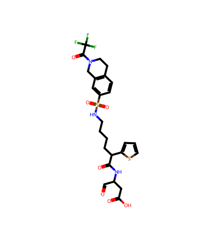 O=CC(CC(=O)O)NC(=O)C(CCCCNS(=O)(=O)c1ccc2c(c1)CN(C(=O)C(F)(F)F)CC2)c1cccs1